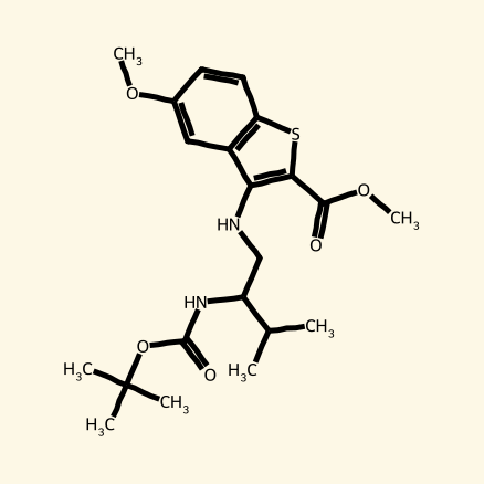 COC(=O)c1sc2ccc(OC)cc2c1NCC(NC(=O)OC(C)(C)C)C(C)C